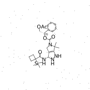 CC(=O)OC[C@@H](OC(=O)N1CC2=C(NNC2NC(=O)C2([Si](C)(C)C)CCC2)C1(C)C)c1ccccc1